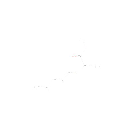 CCCCCC(SCCCC(F)CCC)C(=O)OCCCC